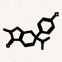 CN1CC2=C(C=CC(c3ccc(Cl)cc3)(N(C)C)C2)C1=O